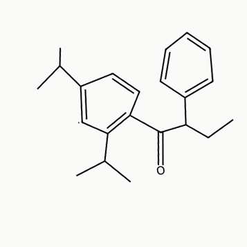 CCC(C(=O)c1ccc(C(C)C)[c]c1C(C)C)c1ccccc1